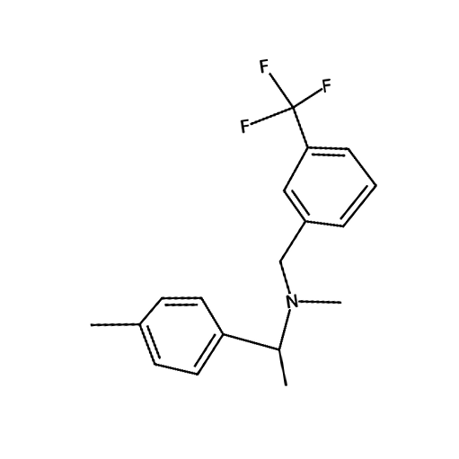 Cc1ccc(C(C)N(C)Cc2cccc(C(F)(F)F)c2)cc1